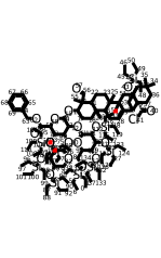 CC[Si](CC)(CC)OCC1O[C@@H](OC2[C@H](OC3CCC4(C)C(CCC5(C)C4CC=C4C6CC7C(C)(C)CC[C@]6(C(=O)Cl)[C@@]7(O[Si](CC)(CC)CC)CC45C)C3(C)C=O)OC(C(=O)OCc3ccccc3)[C@@H](O[Si](CC)(CC)CC)[C@@H]2O[C@@H]2OC[C@@H](O[Si](CC)(CC)CC)C(O[Si](CC)(CC)CC)C2O[Si](CC)(CC)CC)C(O[Si](CC)(CC)CC)C(O[Si](CC)(CC)CC)[C@H]1O[Si](CC)(CC)CC